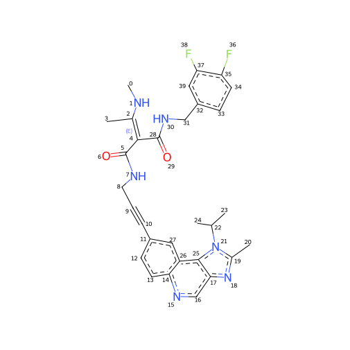 CN/C(C)=C(/C(=O)NCC#Cc1ccc2ncc3nc(C)n(C(C)C)c3c2c1)C(=O)NCc1ccc(F)c(F)c1